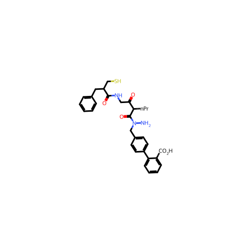 CCCC(C(=O)CNC(=O)C(CS)Cc1ccccc1)C(=O)N(N)Cc1ccc(-c2ccccc2C(=O)O)cc1